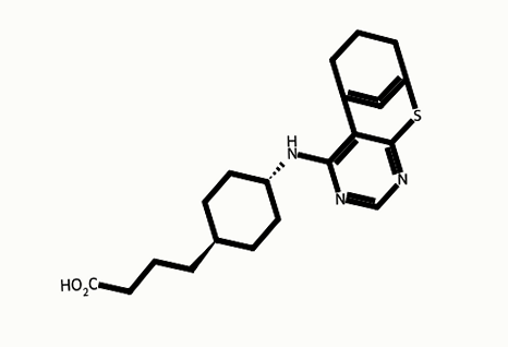 O=C(O)CCC[C@H]1CC[C@H](Nc2ncnc3c2C2=C=C(CCC2)S3)CC1